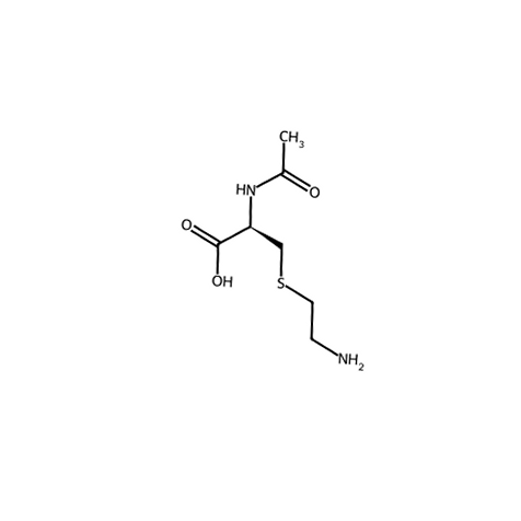 CC(=O)N[C@@H](CSCCN)C(=O)O